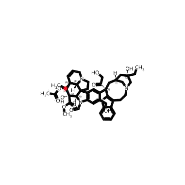 CC[C@]1(O)C[C@H]2CN(CCc3c([nH]c4ccccc34)[C@@](C(=O)CO)(c3cc4c(cc3CO)N(C=O)[C@@H]3C45CCN4CC=C[C@](CC)([C@H]45)[C@@H](OC(C)=O)[C@]3(O)C(=O)OC)C2)C1